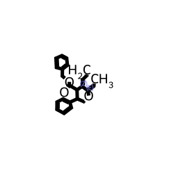 C=C/C=C1\C(=C/C)OCC(c2ccccc2)C1C(=O)OCc1ccccc1